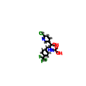 O=C(O)NC(Cc1ccc(C(F)(F)F)cc1)C(O)c1ccc(Cl)nc1